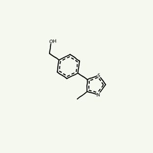 Cc1ncsc1-c1ccc(CO)cc1